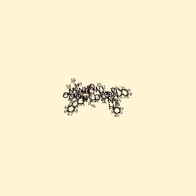 CC[C@H](C)[C@@H]([C@@H](CC(=O)N1CCC[C@H]1[C@H](OC)[C@@H](C)C(=O)N[C@@]1(C(=O)N2Cc3ccccc3CO2)C[C@@H]1c1ccccc1)OC)N(C)C(=O)[C@@H](NC(=O)[C@H](C(C)C)N(C)C(=O)OCC1c2ccccc2-c2ccccc21)C(C)C